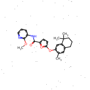 COc1ncccc1NC(=O)c1ccc(Oc2cc3c(cc2C)CCCC3(C)C)o1